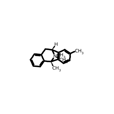 Cc1ccc2c(c1)[C@H]1Cc3ccccc3[C@]2(C)[N+]1(C)C